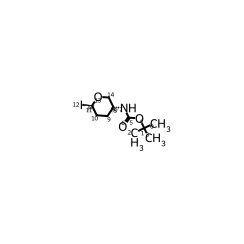 CC(C)(C)OC(=O)N[C@@H]1CC[C@@H](I)OC1